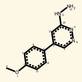 COc1ccc(-c2cnnc(NN)c2)cc1